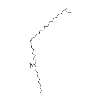 CCCCCCCCCCC(CCCCCCC/C=C\CCCCCC=CCCCCCCCC(C)CC)N(C)C